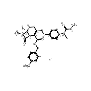 COc1ccc(COC(=O)C2=C(CSc3cc[n+](N(C)C(=O)OC(C)(C)C)cc3)CS[C@@H]3[C@H](N)C(=O)N23)cc1.[I-]